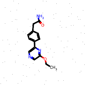 CCOc1cncc(-c2ccc(CC(N)=O)cc2)n1